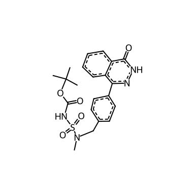 CN(Cc1ccc(-c2n[nH]c(=O)c3ccccc23)cc1)S(=O)(=O)NC(=O)OC(C)(C)C